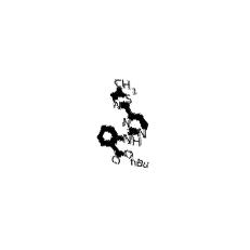 CCCCOC(=O)c1ccccc1Nc1nccc(-c2ncc(C)s2)n1